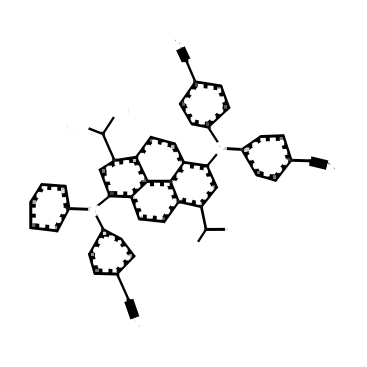 CC(C)c1cc(N(c2ccccc2)c2ccc(C#N)cc2)c2ccc3c(C(C)C)cc(N(c4ccc(C#N)cc4)c4ccc(C#N)cc4)c4ccc1c2c34